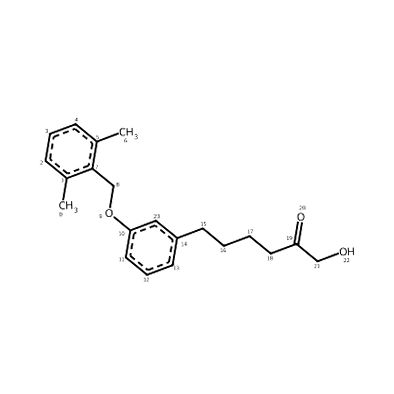 Cc1cccc(C)c1COc1cccc(CCCCC(=O)CO)c1